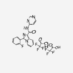 O=C(Nc1ccncn1)c1nc(-c2ccccc2F)n2ccccc12.O=C(O)C(F)(F)F.O=C(O)C(F)(F)F